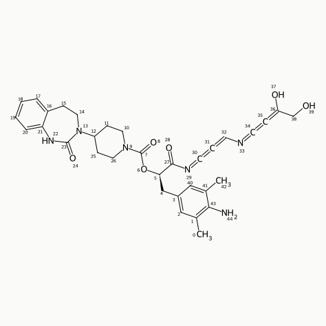 Cc1cc(C[C@@H](OC(=O)N2CCC(N3CCc4ccccc4NC3=O)CC2)C(=O)N=C=C=CN=C=C=C(O)CO)cc(C)c1N